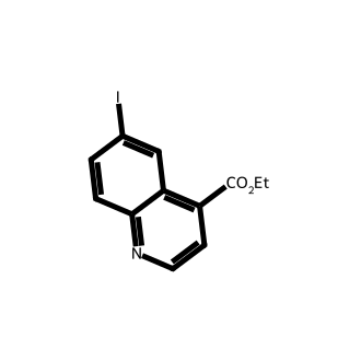 CCOC(=O)c1ccnc2ccc(I)cc12